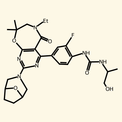 CCN1CC(C)(C)Oc2nc(N3CC4CCC(C3)O4)nc(-c3ccc(NC(=O)NC(C)CO)c(F)c3)c2C1=O